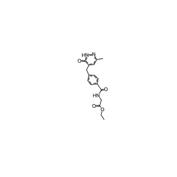 CCOC(=O)CNC(=O)c1ccc(Cc2cc(C)n[nH]c2=O)cc1